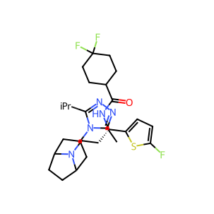 Cc1nnc(C(C)C)n1C1CC2CCC(C1)N2CC[C@H](NC(=O)C1CCC(F)(F)CC1)c1ccc(F)s1